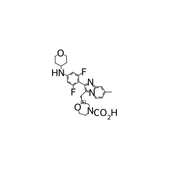 Cc1ccn2c(C[C@H]3CN(C(=O)O)CCO3)c(-c3c(F)cc(NC4CCOCC4)cc3F)nc2c1